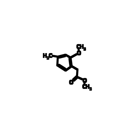 COC(=O)Cc1ccc(C)cc1OC